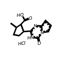 CC1CCC(c2nc3cccn3c(=O)[nH]2)C1C(=O)O.Cl